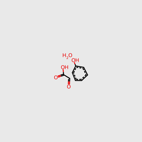 O.O=CC(=O)O.Oc1ccccc1